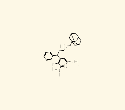 Nc1cc(C(CCNCC23CC4CC(CC(C4)C2)C3)c2ccccc2)c2nn[nH]c2n1